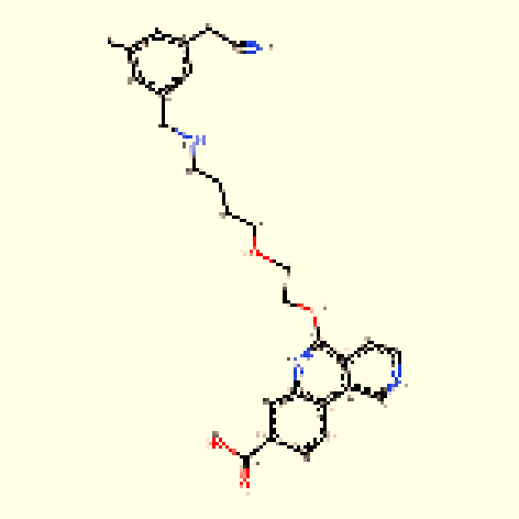 Cc1cc(CC#N)cc(CNCCCCOCCOc2nc3cc(C(=O)O)ccc3c3cnccc23)c1